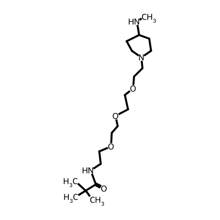 CNC1CCN(CCOCCOCCOCCNC(=O)C(C)(C)C)CC1